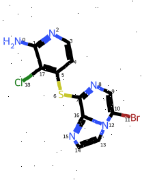 Nc1nccc(Sc2ncc(Br)n3ccnc23)c1Cl